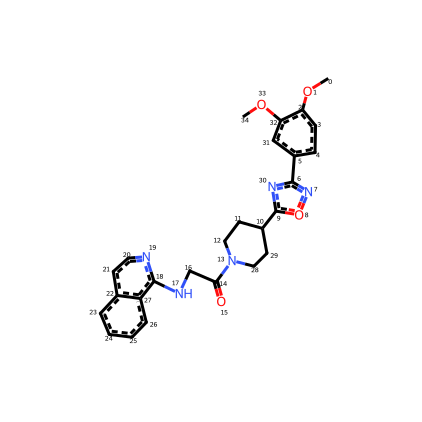 COc1ccc(-c2noc(C3CCN(C(=O)CNc4nccc5ccccc45)CC3)n2)cc1OC